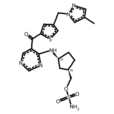 Cc1cnn(Cc2csc(C(=O)c3cncnc3N[C@H]3CC[C@@H](COS(N)(=O)=O)C3)c2)c1